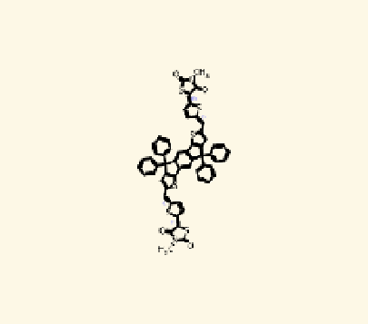 CN1C(=O)S/C(=c2\cc/c(=C\c3cc4c(s3)-c3cc5c(cc3C4(c3ccccc3)c3ccccc3)-c3sc(/C=c4\cc/c(=C6\SC(=O)N(C)C6=O)s4)cc3C5(c3ccccc3)c3ccccc3)s2)C1=O